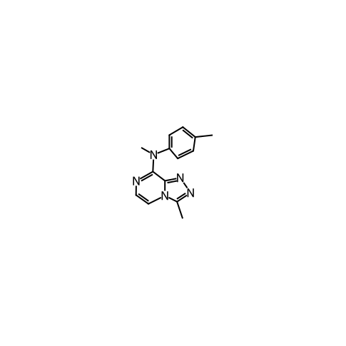 Cc1ccc(N(C)c2nccn3c(C)nnc23)cc1